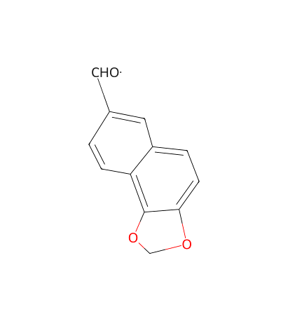 O=[C]c1ccc2c3c(ccc2c1)OCO3